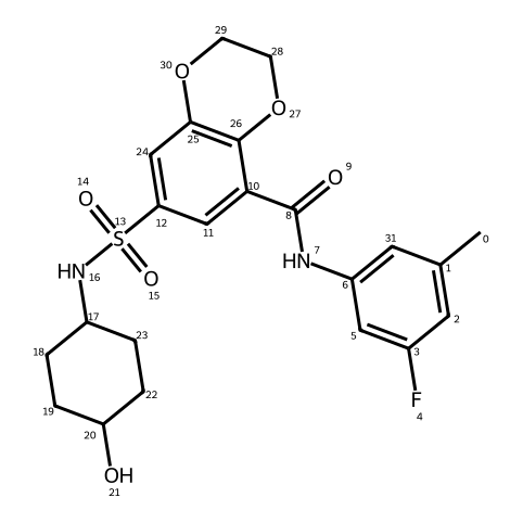 Cc1cc(F)cc(NC(=O)c2cc(S(=O)(=O)NC3CCC(O)CC3)cc3c2OCCO3)c1